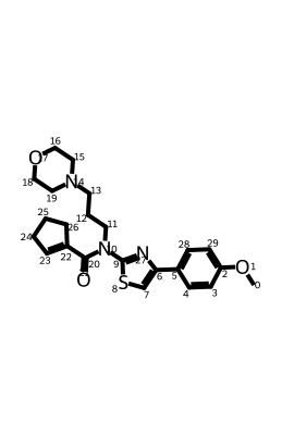 COc1ccc(-c2csc(N(CCCN3CCOCC3)C(=O)C3=CCCC3)n2)cc1